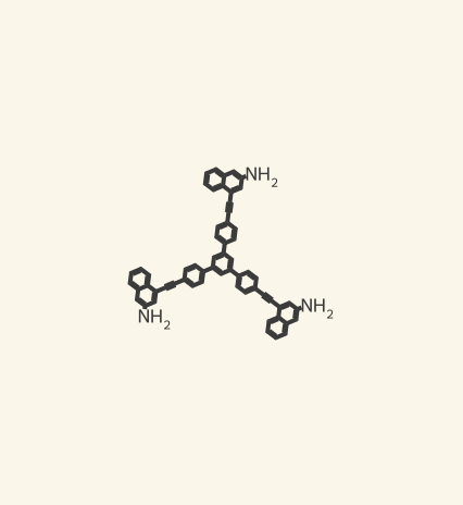 Nc1cc(C#Cc2ccc(-c3cc(-c4ccc(C#Cc5cc(N)cc6ccccc56)cc4)cc(-c4ccc(C#Cc5cc(N)cc6ccccc56)cc4)c3)cc2)c2ccccc2c1